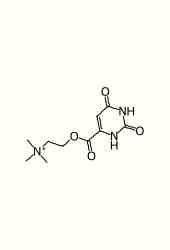 C[N+](C)(C)CCOC(=O)c1cc(=O)[nH]c(=O)[nH]1